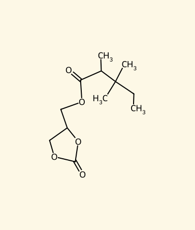 CCC(C)(C)C(C)C(=O)OCC1COC(=O)O1